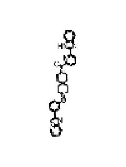 O=C(c1cccc(-c2nc3ccccc3[nH]2)n1)N1CCC2(CCN(Oc3cccc(-c4cn5ccccc5n4)c3)CC2)CC1